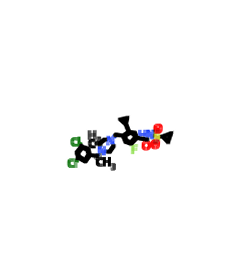 C[C@H]1CN(Cc2cc(F)c(C(=O)NS(=O)(=O)C3CC3)cc2C2CC2)CCN1[C@@H](C)c1cc(Cl)cc(Cl)c1